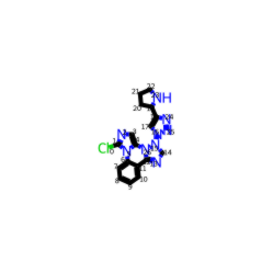 Clc1ncc2n1-c1ccccc1C1=NCN(n3cc(C4CCCN4)nn3)N12